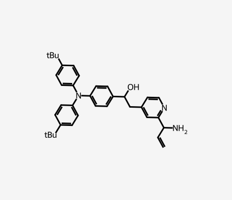 C=CC(N)c1cc(CC(O)c2ccc(N(c3ccc(C(C)(C)C)cc3)c3ccc(C(C)(C)C)cc3)cc2)ccn1